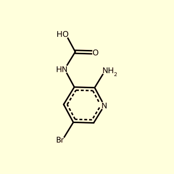 Nc1ncc(Br)cc1NC(=O)O